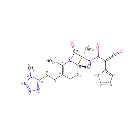 CO[C@@]1(NC(=O)C(=C=O)c2cccs2)C(=O)N2C(C(=O)O)=C(CSc3nnnn3C)CS[C@H]21